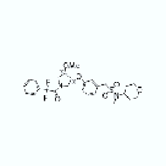 CO[C@@H]1CN(C(=O)C(F)(F)c2ccccc2)C[C@H]1Oc1cccc(CS(=O)(=O)N(C)C2CCOCC2)c1